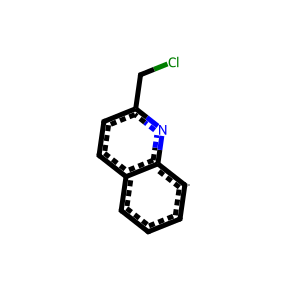 ClCc1ccc2ccc[c]c2n1